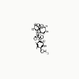 Cc1ccc(S(=O)(=O)OC2CCCOC23CCCO3)cc1